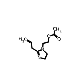 C=CCC1=NCCN1CCOC(C)=O